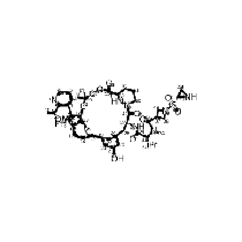 CCn1c(-c2cccnc2[C@H](C)OC)c2c3cc(ccc31)-c1cc(O)cc(c1)C[C@H](NC(=O)[C@H](C(C)C)N(C)C(=O)C1CN(S(=O)(=O)[C@@H]3CN3)C1)C(=O)N1CCC[C@H](N1)C(=O)OCC(C)(C)C2